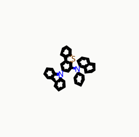 c1ccc(N(c2cccc3ccccc23)c2cc(-n3c4ccccc4c4ccccc43)cc3c2sc2ccccc23)cc1